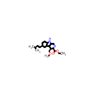 C=C(C)/C=C/c1ccc2[nH]c3cnc(C(=O)OCC)c(COC)c3c2c1